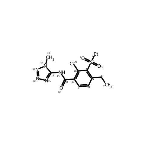 CCS(=O)(=O)c1c(CC(F)(F)F)ccc(C(=O)Nc2nnnn2C)c1Cl